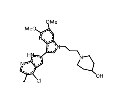 COc1cc2c(nc1OC)c(-c1cc3c(Cl)c(F)cnc3[nH]1)cn2CCCN1CCC(O)CC1